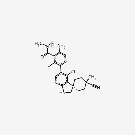 CN(C)C(=O)c1c(N)ccc(-c2cnc3c(c2Cl)[C@]2(CC[C@@](C)(C#N)CC2)CN3)c1F